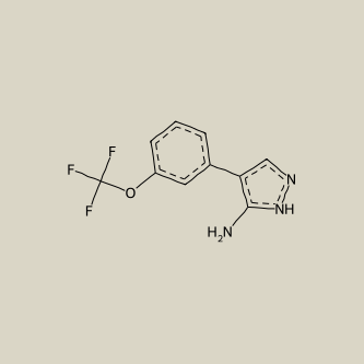 Nc1[nH]ncc1-c1cccc(OC(F)(F)F)c1